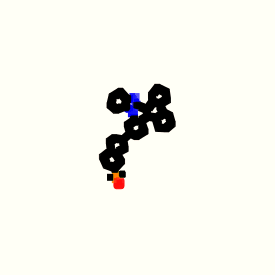 CP(C)(=O)c1ccc2ccc(-c3ccc4c5c6ccccc6c6ccccc6c5c5nc6ccccc6n5c4c3)cc2c1